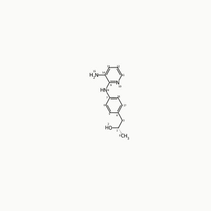 C[C@H](O)Cc1ccc(Nc2nc[c]cc2N)cc1